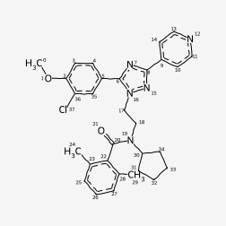 COc1ccc(-c2nc(-c3ccncc3)nn2CCN(C(=O)c2c(C)cccc2C)C2CCCC2)cc1Cl